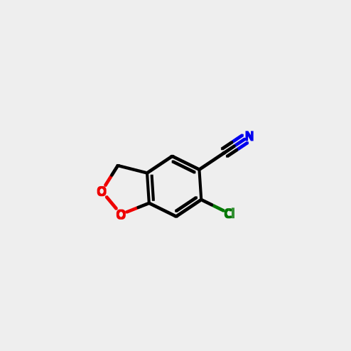 N#Cc1cc2c(cc1Cl)OOC2